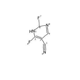 N#CC1=C(F)N[C](F)N=C1